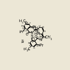 CC(NC(=O)c1c(C(C)C)cc(C)cc1C(C)C)=C1C=CCC(=C(C)NC(=O)c2c(C(C)C)cc(C)cc2C(C)C)N1.[Ti]